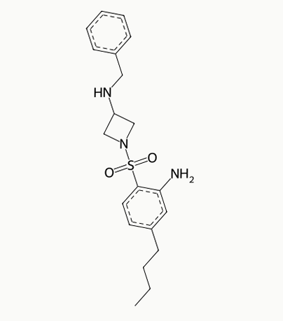 CCCCc1ccc(S(=O)(=O)N2CC(NCc3ccccc3)C2)c(N)c1